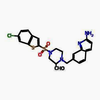 Nc1ccc2ccc(CN3CCN(S(=O)(=O)c4cc5ccc(Cl)cc5s4)CC3C=O)cc2n1